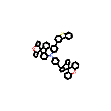 c1ccc2c(c1)Oc1ccccc1C21c2ccccc2-c2c(-c3ccc(N(c4ccc(-c5ccc6sc7ccccc7c6c5)cc4)c4cccc5c4-c4ccccc4C54c5ccccc5Oc5ccccc54)cc3)cccc21